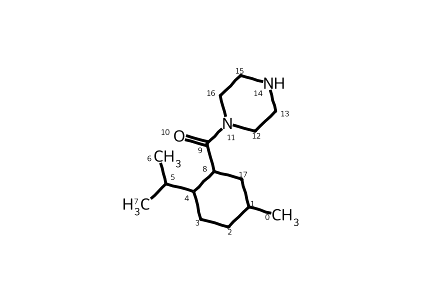 CC1CCC(C(C)C)C(C(=O)N2CCNCC2)C1